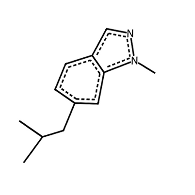 CC(C)Cc1ccc2cnn(C)c2c1